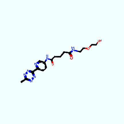 Cc1nnc(-c2ccc(NC(=O)CCCC(=O)NCCOCCO)cn2)nn1